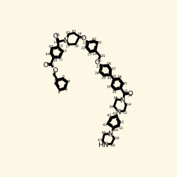 O=C(OCc1ccccc1)c1ccc(C(=O)N2CCC(Oc3ccc(COc4ccc(-c5ccc(C(=O)N6CCN(c7ccc(N8CCNCC8)cc7)CC6)cc5)cc4)cc3)CC2)cc1